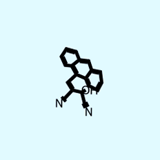 N#C/C(=C/c1c2ccccc2cc2ccccc12)C(O)C#N